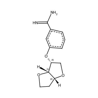 N=C(N)c1cccc(O[C@@H]2CO[C@@H]3CCO[C@@H]32)c1